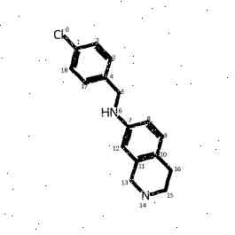 Clc1ccc(CNc2ccc3c(c2)C[N]CC3)cc1